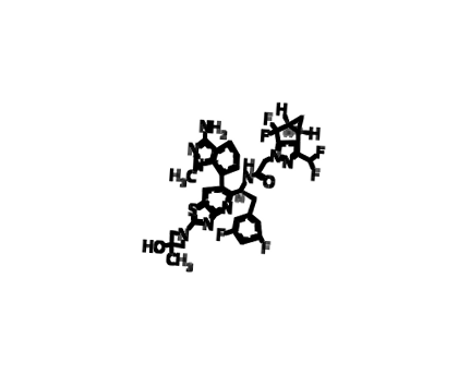 Cn1nc(N)c2cccc(-c3cc4sc(N5CC(C)(O)C5)nc4nc3[C@H](Cc3cc(F)cc(F)c3)NC(=O)Cn3nc(C(F)F)c4c3C(F)(F)[C@@H]3C[C@H]43)c21